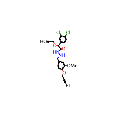 C#CCOC(C(=O)NNCc1ccc(OCC#CCC)c(OC)c1)c1ccc(Cl)c(Cl)c1